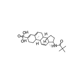 CC(C)(C)C(=O)NC1CC[C@H]2[C@@H]3CC=C4C=C(P(=O)(O)O)CC[C@]4(C)[C@@H]3C=C[C@]12C